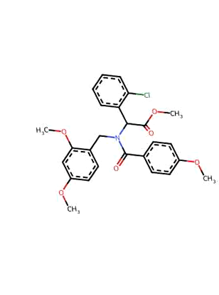 COC(=O)C(c1ccccc1Cl)N(Cc1ccc(OC)cc1OC)C(=O)c1ccc(OC)cc1